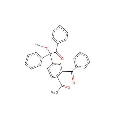 CCOC(C(=O)c1ccccc1)(c1ccccc1)c1ccc(C(=O)OC)c(C(=O)c2ccccc2)c1